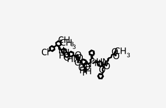 COC(=O)CCCCNC(=O)C1(COCc2ccccc2)CCN(CC[C@H](CSc2ccccc2)Nc2ccc(S(=O)(=O)NC(=O)c3ccc4c(c3)OC[C@@H]3CN(CC5=C(c6ccc(Cl)cc6)CCC(C)(C)C5)CCN43)cc2S(=O)(=O)C(F)(F)F)CC1